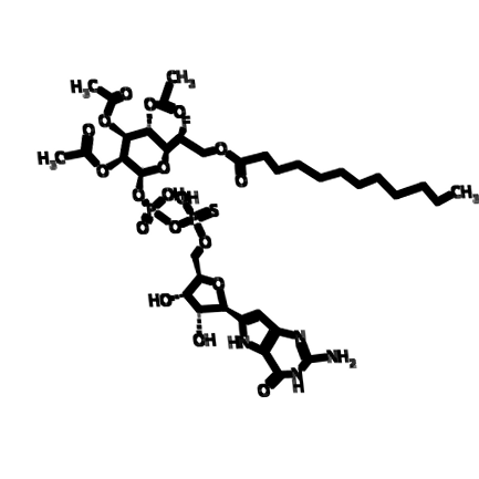 CCCCCCCCCCCC(=O)OC[C@H](F)[C@H]1O[C@@H](OP(=O)(O)OP(O)(=S)OC[C@H]2O[C@@H](c3cc4nc(N)[nH]c(=O)c4[nH]3)[C@H](O)[C@@H]2O)[C@@H](OC(C)=O)[C@@H](OC(C)=O)[C@@H]1OC(C)=O